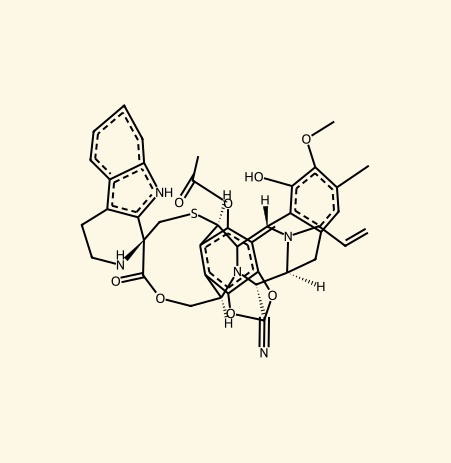 C=CCN1[C@H]2c3c(cc(C)c(OC)c3O)C[C@H]1[C@H](C#N)N1C2[C@@H]2SC[C@]3(NCCc4c3[nH]c3ccccc43)C(=O)OC[C@H]1c1c3c(c(C)c(OC(C)=O)c12)OCO3